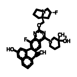 C#Cc1cccc2cc(O)cc(-c3c(Cl)cc4c(N5CCC[C@@](C)(O)C5)nc(OC[C@@]56CCCN5C[C@H](F)C6)nc4c3F)c12